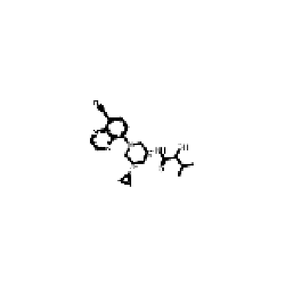 CC(C)C(O)C(=O)N[C@@H]1C[C@H](C2CC2)CN(c2ccc(C#N)c3nccnc23)C1